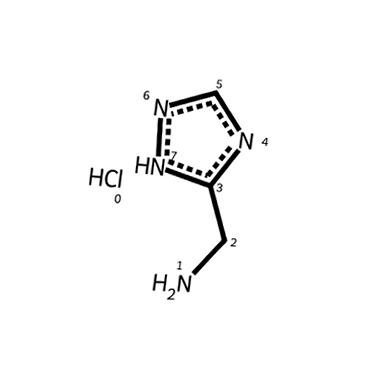 Cl.NCc1ncn[nH]1